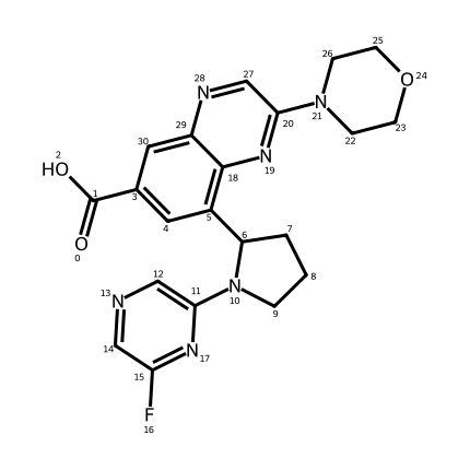 O=C(O)c1cc(C2CCCN2c2cncc(F)n2)c2nc(N3CCOCC3)cnc2c1